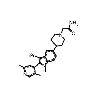 Cc1cc(-c2[nH]c3ccc(C4CCN(CC(N)=O)CC4)cc3c2C(C)C)c(C)cn1